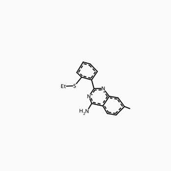 CCSc1ccccc1-c1nc(N)c2ccc(C)cc2n1